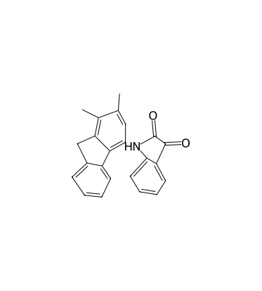 Cc1ccc2c(c1C)Cc1ccccc1-2.O=C1Nc2ccccc2C1=O